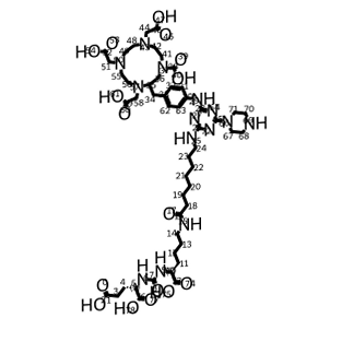 O=C(O)CC[C@H](NC(=O)N[C@@H](CCCCNC(=O)CCCCCCCNc1nc(Nc2ccc(CC3CN(C(=O)O)CCN(CC(=O)O)CCN(CC(=O)O)CCN3CC(=O)O)cc2)nc(N2CCNCC2)n1)C(=O)O)C(=O)O